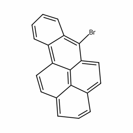 Brc1c2ccccc2c2ccc3cccc4ccc1c2c43